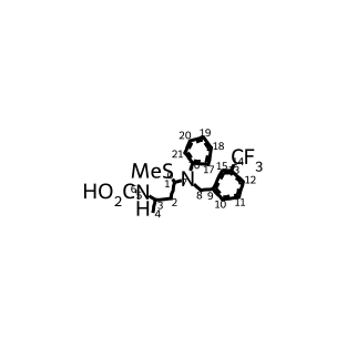 CSC(CC(C)NC(=O)O)N(Cc1cccc(C(F)(F)F)c1)c1ccccc1